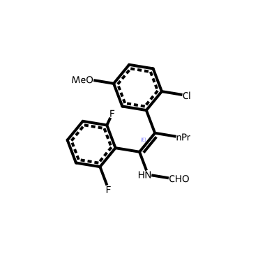 CCC/C(=C(\NC=O)c1c(F)cccc1F)c1cc(OC)ccc1Cl